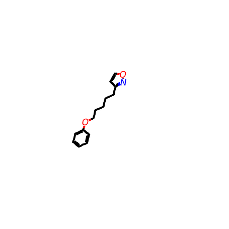 c1ccc(OCCCCCc2ccon2)cc1